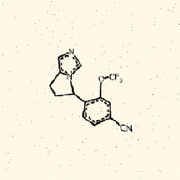 N#Cc1ccc(C2CCc3cncn32)c(OC(F)(F)F)c1